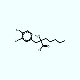 CCCCCC(N)(Cc1ccc(Cl)c(Cl)c1)C(=O)O